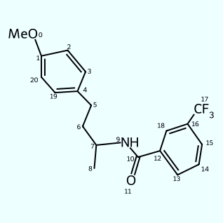 COc1ccc(CCC(C)NC(=O)c2cccc(C(F)(F)F)c2)cc1